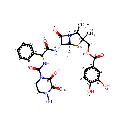 CCN1CCN(C(=O)N[C@@H](C(=O)N[C@@H]2C(=O)N3C(C(=O)O)[C@](C)(COC(=O)c4ccc(O)c(O)c4)S[C@@H]23)c2ccccc2)C(=O)C1=O